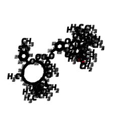 C=CCOC(=O)[C@H]1O[C@@H](Oc2ccc(COC(=O)O[C@H]3CC(=O)O[C@H](c4ccc5sc(C)nc5c4)CC=C(C)CCC[C@H](C)[C@H](O[Si](C)(C)C(C)(C)C)[C@@H](CC=C)C(=O)C3(C)C)cc2OC)[C@H](O[Si](C)(C)C(C)(C)C)[C@@H](O[Si](C)(C)C(C)(C)C)[C@H]1O[Si](C)(C)C(C)(C)C